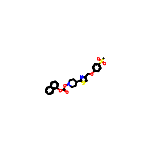 CS(=O)(=O)c1ccc(OCc2csc(C3CCN(OC(=O)Oc4cccc5ccccc45)CC3)n2)cc1